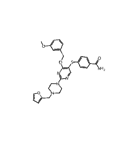 COc1cccc(COc2nc(N3CCN(Cc4ccco4)CC3)ncc2Sc2ccc(C(N)=O)cc2)c1